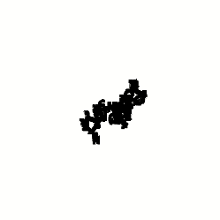 CC1(C(=O)Nc2nc(-c3cccc(C#N)c3)cs2)CC2c3ccccc3C1CC21OCCO1